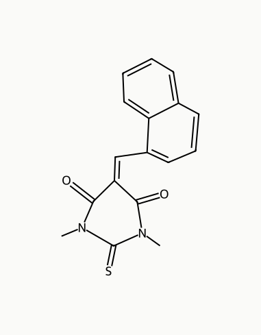 CN1C(=O)C(=Cc2cccc3ccccc23)C(=O)N(C)C1=S